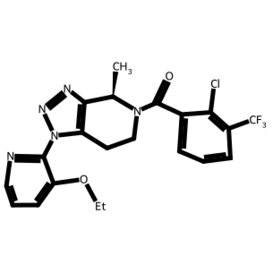 CCOc1cccnc1-n1nnc2c1CCN(C(=O)c1cccc(C(F)(F)F)c1Cl)[C@@H]2C